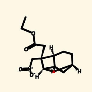 CCOC(=O)C[C@]1(C[N+](=O)[O-])[C@@H]2C[C@@H]3CC[C@H]1[C@H]2C3